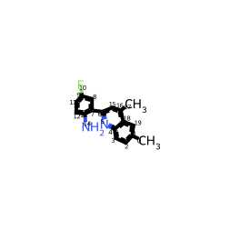 Cc1ccc2nc(-c3cc(F)ccc3N)cc(C)c2c1